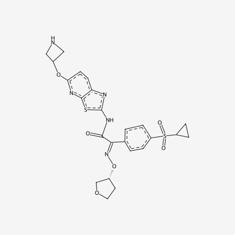 O=C(Nc1nc2ccc(OC3CNC3)nc2s1)/C(=N/O[C@@H]1CCOC1)c1ccc(S(=O)(=O)C2CC2)cc1